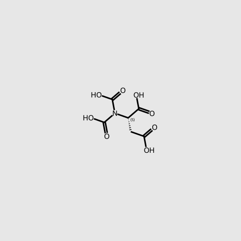 O=C(O)C[C@@H](C(=O)O)N(C(=O)O)C(=O)O